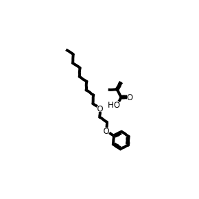 C=C(C)C(=O)O.CCCCCCCCCOCCOc1ccccc1